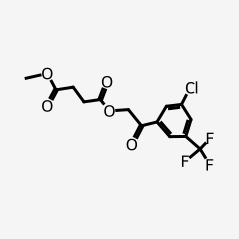 COC(=O)CCC(=O)OCC(=O)c1cc(Cl)cc(C(F)(F)F)c1